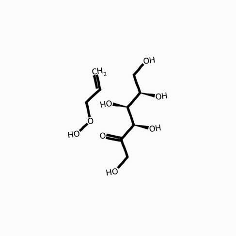 C=CCOO.O=C(CO)[C@H](O)[C@@H](O)[C@H](O)CO